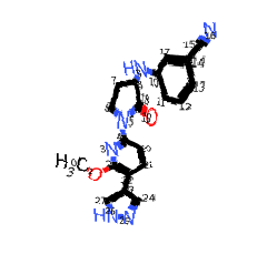 COc1nc(N2CCC(Nc3cccc(C#N)c3)C2=O)ccc1-c1cn[nH]c1